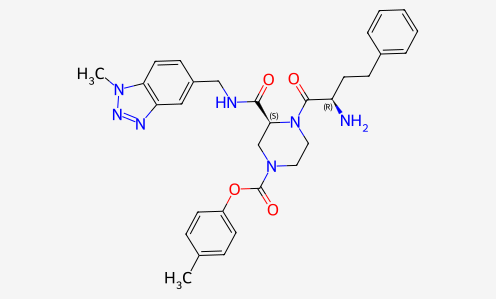 Cc1ccc(OC(=O)N2CCN(C(=O)[C@H](N)CCc3ccccc3)[C@H](C(=O)NCc3ccc4c(c3)nnn4C)C2)cc1